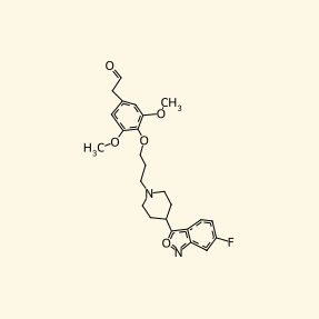 COc1cc(CC=O)cc(OC)c1OCCCN1CCC(c2onc3cc(F)ccc23)CC1